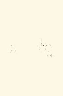 Nc1cccc(O)c1OC(=O)CCCCCCO[N+](=O)[O-]